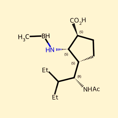 CBN[C@H]1[C@@H]([C@H](NC(C)=O)C(CC)CC)CC[C@@H]1C(=O)O